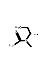 COC[C@H](C)N(C)C(N)=S